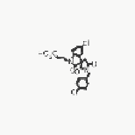 O=C(O)CCCN1C(=O)C2(CC(=O)N(Cc3ccc(Cl)cc3)C2=O)c2cc(Cl)ccc21